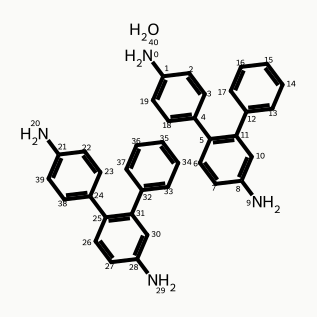 Nc1ccc(-c2ccc(N)cc2-c2ccccc2)cc1.Nc1ccc(-c2ccc(N)cc2-c2ccccc2)cc1.O